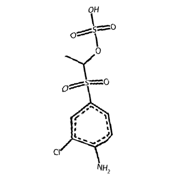 CC(OS(=O)(=O)O)S(=O)(=O)c1ccc(N)c(Cl)c1